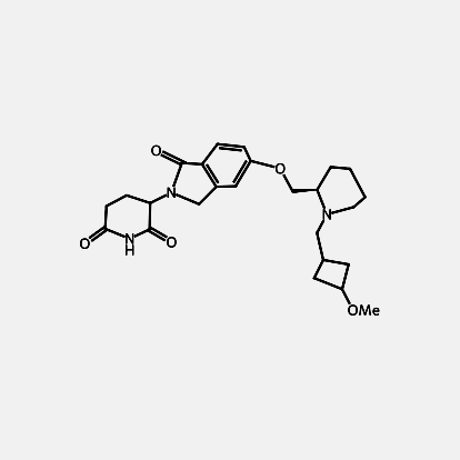 COC1CC(CN2CCCC[C@@H]2COc2ccc3c(c2)CN(C2CCC(=O)NC2=O)C3=O)C1